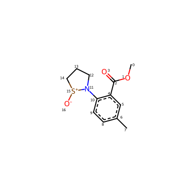 COC(=O)c1cc(C)ccc1N1CCC[S+]1[O-]